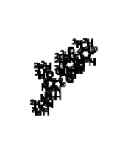 [2H]c1c([2H])c(C(=O)N2C([2H])([2H])C([2H])([2H])N(C(=O)C(=O)c3c[nH]c4c(-n5cnc(C([2H])([2H])[2H])n5)ncc(OC([2H])([2H])[2H])c34)C([2H])([2H])C2([2H])[2H])c([2H])c([2H])c1C